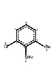 CSc1c(Cl)cccc1C(C)(C)C